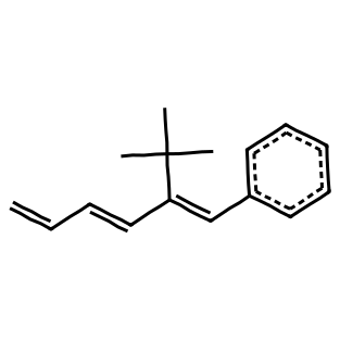 C=CC=CC(=Cc1ccccc1)C(C)(C)C